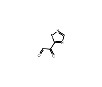 O=CC(=O)c1ncns1